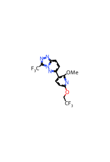 COc1nc(OCC(F)(F)F)ccc1-c1ccc2nnc(C(F)(F)F)n2n1